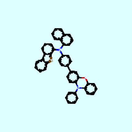 c1ccc(N2c3ccccc3Oc3cc(-c4ccc(N(c5cccc6ccccc56)c5cccc6c5sc5ccccc56)cc4)ccc32)cc1